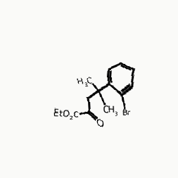 CCOC(=O)C(=O)CC(C)(C)c1ccccc1Br